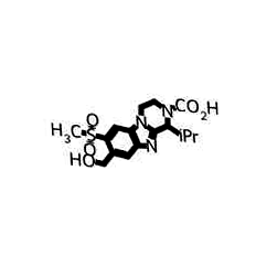 CC(C)C1c2nc3cc(CO)c(S(C)(=O)=O)cc3n2CCN1C(=O)O